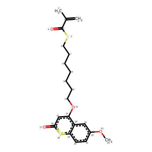 C=C(C)C(=O)SCCCCCCCOc1cc(=O)sc2ccc(OC)cc12